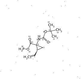 C=C[C@@H]1CC1(NC(=O)OC(C)(C)C)C(=O)OP